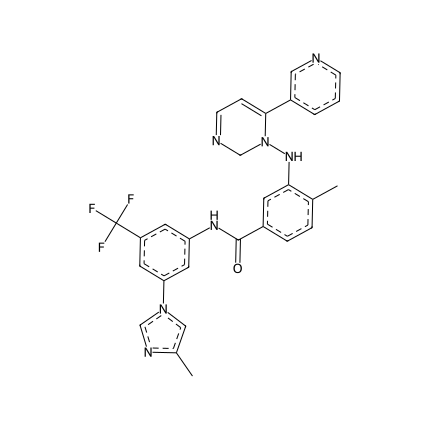 Cc1cn(-c2cc(NC(=O)c3ccc(C)c(NN4CN=CC=C4c4cccnc4)c3)cc(C(F)(F)F)c2)cn1